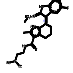 CCN(CC)CCNC(=O)c1c(C)[nH]c2c1CCC/C2=C1/C(=O)Nc2ccc(F)cc21.CS(=O)(=O)O